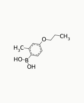 CCCOc1ccc(B(O)O)c(C)c1